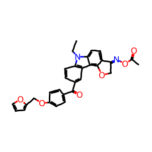 CCn1c2ccc(C(=O)c3ccc(OCc4ccco4)cc3)cc2c2c3c(ccc21)/C(=N/OC(C)=O)CO3